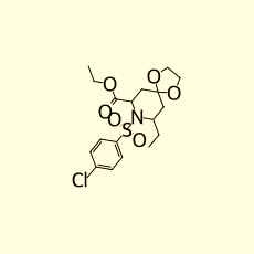 CCOC(=O)C1CC2(CC(CC)N1S(=O)(=O)c1ccc(Cl)cc1)OCCO2